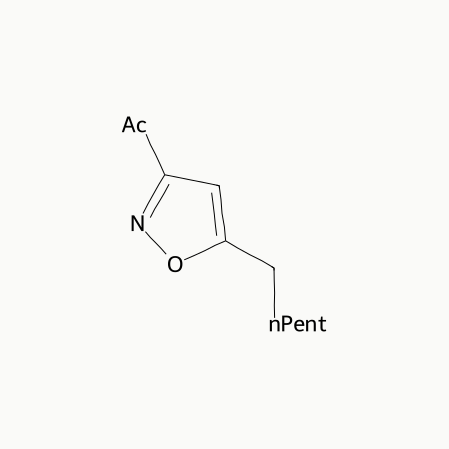 CCCCCCc1cc(C(C)=O)no1